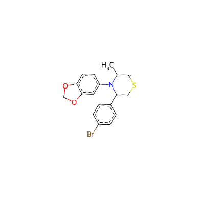 CC1[CH]SCC(c2ccc(Br)cc2)N1c1ccc2c(c1)OCO2